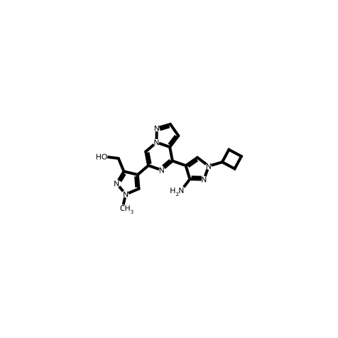 Cn1cc(-c2cn3nccc3c(-c3cn(C4CCC4)nc3N)n2)c(CO)n1